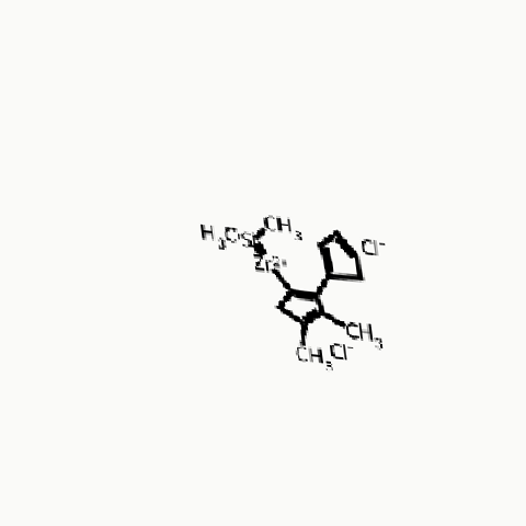 CC1=C(C)C(C2=CC=CC2)=[C]([Zr+2]=[Si](C)C)C1.[Cl-].[Cl-]